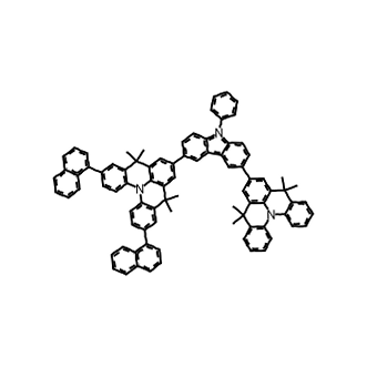 CC1(C)c2ccccc2N2c3ccccc3C(C)(C)c3cc(-c4ccc5c(c4)c4cc(-c6cc7c8c(c6)C(C)(C)c6cc(-c9cccc%10ccccc9%10)ccc6N8c6ccc(-c8cccc9ccccc89)cc6C7(C)C)ccc4n5-c4ccccc4)cc1c32